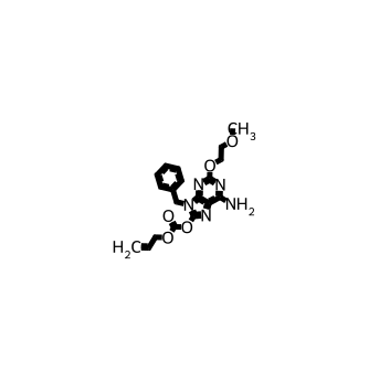 C=CCOC(=O)Oc1nc2c(N)nc(OCCOC)nc2n1Cc1ccccc1